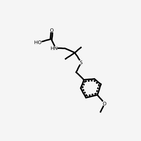 COc1ccc(CSC(C)(C)CNC(=O)O)cc1